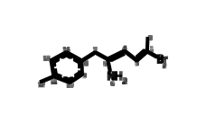 C/C(Br)=C\C=C(/N)Cc1ccc(C)cc1